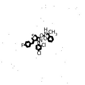 C[C@H](NC(=O)Oc1nn(-c2ccc(Cl)cc2Cl)c2c1CSC/C2=C\c1ccc(F)cc1)c1ccccc1